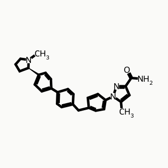 Cc1cc(C(N)=O)nn1-c1ccc(Cc2ccc(-c3ccc([C@H]4CCCN4C)cc3)cc2)cc1